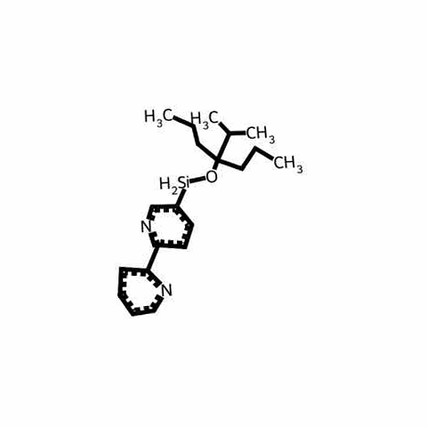 CCCC(CCC)(O[SiH2]c1ccc(-c2ccccn2)nc1)C(C)C